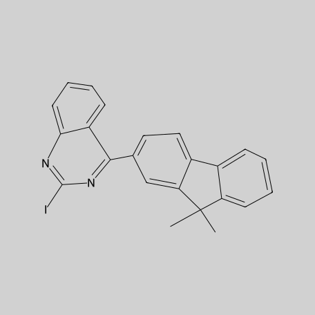 CC1(C)c2ccccc2-c2ccc(-c3nc(I)nc4ccccc34)cc21